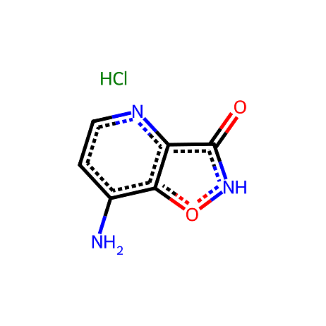 Cl.Nc1ccnc2c(=O)[nH]oc12